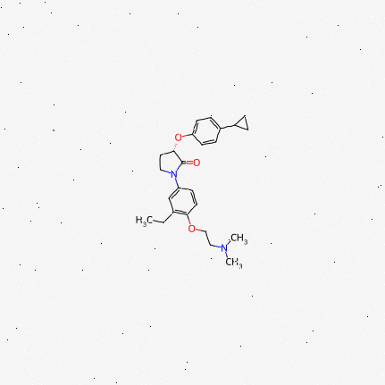 CCc1cc(N2CC[C@H](Oc3ccc(C4CC4)cc3)C2=O)ccc1OCCN(C)C